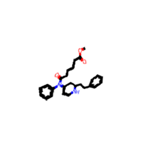 COC(=O)CCCCC(=O)N(c1ccccc1)C1CCNC(CCc2ccccc2)C1